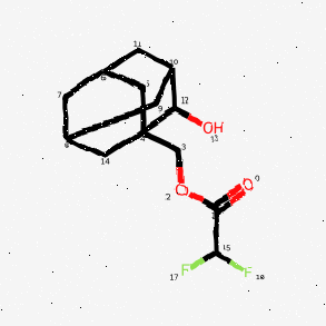 O=C(OCC12CC3CC(CC(C3)C1O)C2)C(F)F